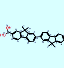 CC1(C)c2ccccc2-c2ccc(-c3ccc4c(c3)C(C)(C)c3cc(B(O)O)ccc3-4)cc21